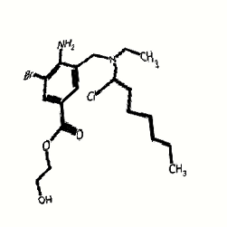 CCCCCCC(Cl)N(CC)Cc1cc(C(=O)OCCO)cc(Br)c1N